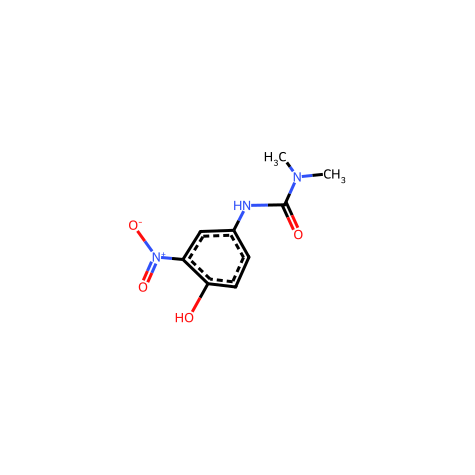 CN(C)C(=O)Nc1ccc(O)c([N+](=O)[O-])c1